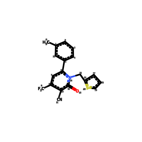 Cc1cccc(-c2cc(C(F)(F)F)c(C#N)c(=O)n2Cc2cccs2)c1